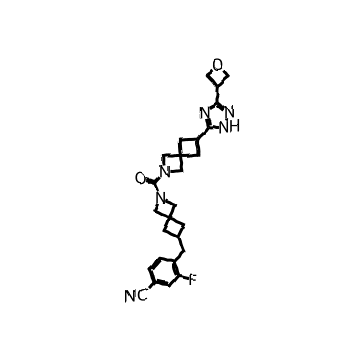 N#Cc1ccc(CC2CC3(C2)CN(C(=O)N2CC4(CC(c5nc(C6COC6)n[nH]5)C4)C2)C3)c(F)c1